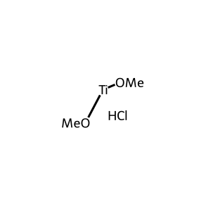 C[O][Ti][O]C.Cl